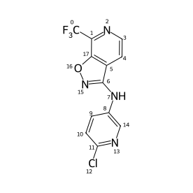 FC(F)(F)c1nccc2c(Nc3ccc(Cl)nc3)noc12